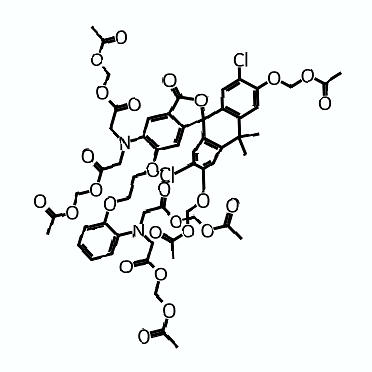 CC(=O)OCOC(=O)CN(CC(=O)OCOC(C)=O)c1ccccc1OCCOc1cc2c(cc1N(CC(=O)OCOC(C)=O)CC(=O)OCOC(C)=O)C(=O)OC21c2cc(Cl)c(OCOC(C)=O)cc2C(C)(C)c2cc(OCOC(C)=O)c(Cl)cc21